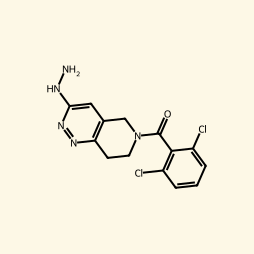 NNc1cc2c(nn1)CCN(C(=O)c1c(Cl)cccc1Cl)C2